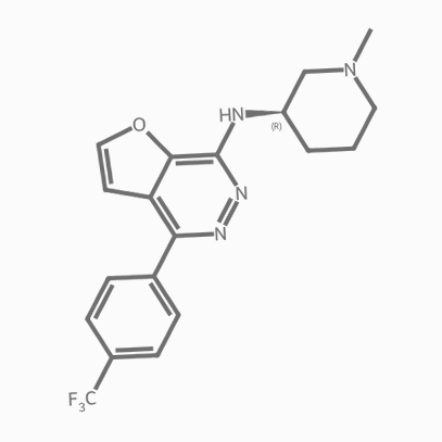 CN1CCC[C@@H](Nc2nnc(-c3ccc(C(F)(F)F)cc3)c3ccoc23)C1